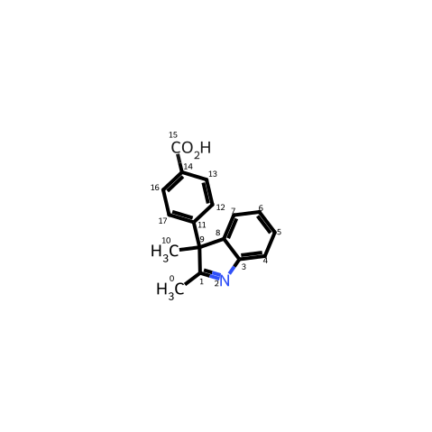 CC1=Nc2ccccc2C1(C)c1ccc(C(=O)O)cc1